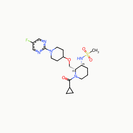 CS(=O)(=O)N[C@@H]1CCCN(C(=O)C2CC2)[C@@H]1COC1CCN(c2ncc(F)cn2)CC1